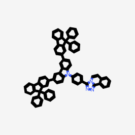 C1=CC2=C(CC1)C(c1ccccc1)(c1ccccc1)c1cc(-c3ccc4c(c3)c3cc(-c5ccc6c(c5)C(c5ccccc5)(c5ccccc5)c5ccccc5-6)ccc3n4-c3ccc(-c4nnc5c6ccccc6ccn45)cc3)ccc12